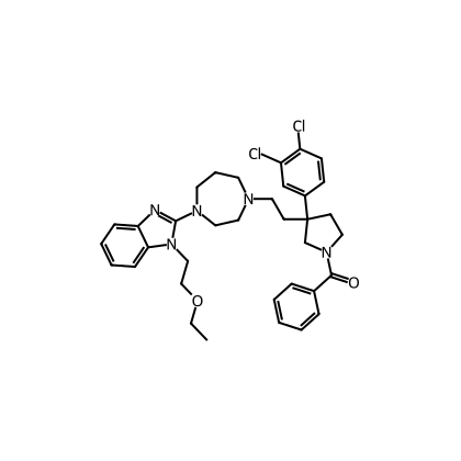 CCOCCn1c(N2CCCN(CCC3(c4ccc(Cl)c(Cl)c4)CCN(C(=O)c4ccccc4)C3)CC2)nc2ccccc21